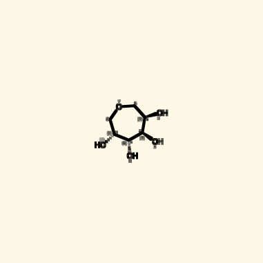 O[C@H]1[C@H](O)[C@H](O)COC[C@H]1O